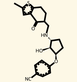 Cc1cc2c(s1)CCC(CN[C@@H]1CC[C@@H](Oc3ccc(C#N)cc3)[C@H]1O)C2=O